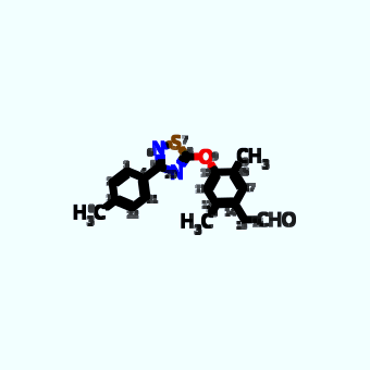 Cc1ccc(-c2nsc(Oc3cc(C)c(CC=O)cc3C)n2)cc1